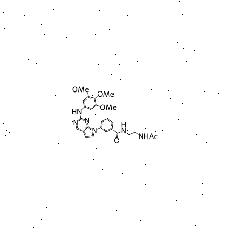 COc1cc(Nc2ncc3ccn(-c4cccc(C(=O)NCCNC(C)=O)c4)c3n2)cc(OC)c1OC